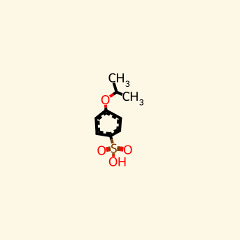 CC(C)Oc1ccc(S(=O)(=O)O)cc1